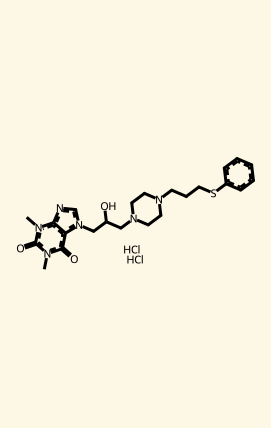 Cl.Cl.Cn1c(=O)c2c(ncn2CC(O)CN2CCN(CCCSc3ccccc3)CC2)n(C)c1=O